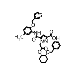 Cc1ccc(OCc2ccsc2)c(NC(=O)c2cc(C(=O)O)nn2CC(=O)O[C@H]2CCCC[C@@H]2OCc2ccccc2)c1